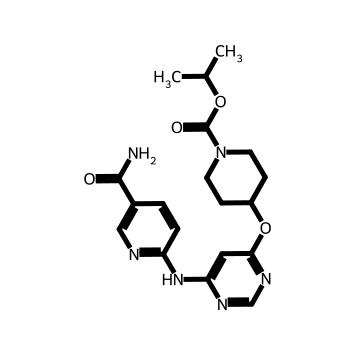 CC(C)OC(=O)N1CCC(Oc2cc(Nc3ccc(C(N)=O)cn3)ncn2)CC1